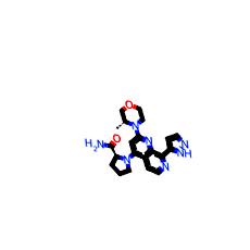 C[C@@H]1COCCN1c1cc(N2CCC[C@H]2C(N)=O)c2ccnc(-c3ccn[nH]3)c2n1